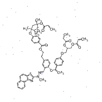 C=CC(=O)OCC(COc1ccc(C(=C)Oc2ccc(CCOC(=O)c3ccc(OC(C)(C)CC(C)(C)OC(=O)C=C)cc3)cc2/C=N/N(C)c2nc3c(ccc4ccccc43)s2)cc1)OC(=O)C=C